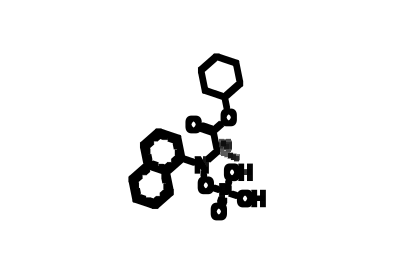 C[C@@H](C(=O)OC1CCCCC1)N(OP(=O)(O)O)c1cccc2ccccc12